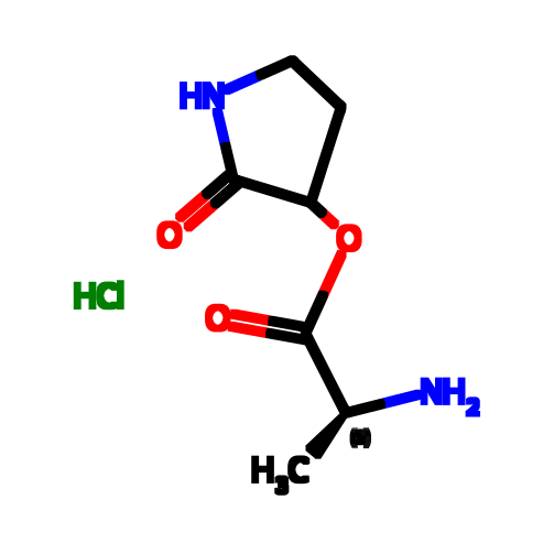 C[C@H](N)C(=O)OC1CCNC1=O.Cl